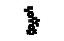 COC(=O)C(NC(=O)c1ccc(C(=O)O)cc1)c1ccc2c(c1)C(C)(C)CCC2(C)C